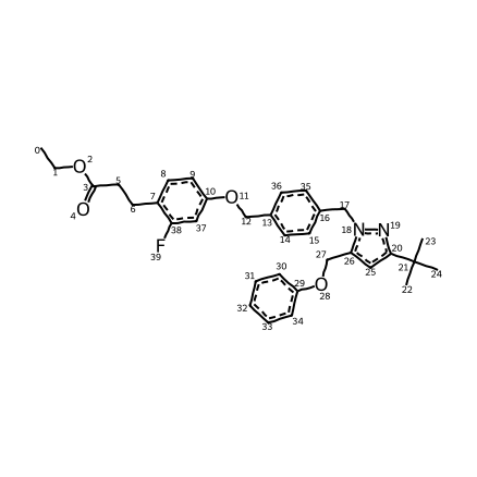 CCOC(=O)CCc1ccc(OCc2ccc(Cn3nc(C(C)(C)C)cc3COc3ccccc3)cc2)cc1F